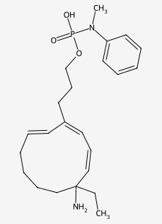 CCC1(N)\C=C/C=C(CCCOP(=O)(O)N(C)c2ccccc2)\C=C\CCCC1